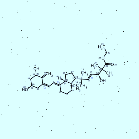 C=C1/C(=C\C=C2/CCC[C@]3(C)[C@@H](C(C)(C)/C=C/[C@H](O)C(C)(C)C(=O)OCC)CC[C@@H]23)C[C@@H](O)C[C@@H]1O